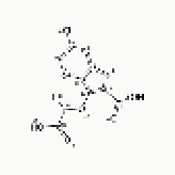 O=C(O)c1sc2cc(Cl)ccc2c1OC(F)C(=O)O